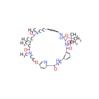 CN1CCOc2ccc(nc2)C(=O)NCc2cccc(c2)C(=O)N[C@](O)(CC(C)(C)C)C(=O)Nc2ccc(cc2)CCN(C)C(=O)CC(C)(C)CC1=O